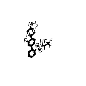 C[C@@H](NS(=O)(=O)c1ccccc1-c1ccc(-c2cnc(N)cn2)c(F)c1)C(F)(F)F